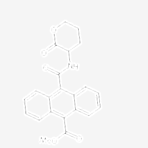 COC(=O)c1c2ccccc2c(C(=O)NC2CCCOC2=O)c2ccccc12